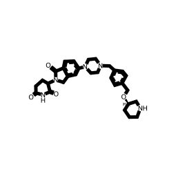 O=C1CCC(N2Cc3cc(N4CCN(Cc5ccc(CO[C@@H]6CCCNC6)cc5)CC4)ccc3C2=O)C(=O)N1